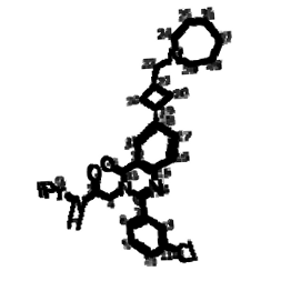 CC(C)NC(=O)Cn1c(-c2cccc(Cl)c2)nc2ccc([C@H]3C[C@H](CN4CCCCCC4)C3)cc2c1=O